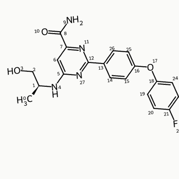 C[C@@H](CO)Nc1cc(C(N)=O)nc(-c2ccc(Oc3ccc(F)cc3)cc2)n1